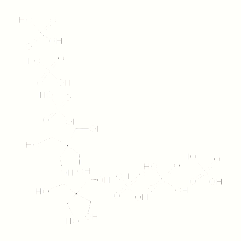 O=S(=O)(O)O.O=S(=O)(O)O.O=S(=O)(O)O.O=S(=O)(O)O.O=S(=O)(O)O.O=S(=O)(O)O.OCC(CO)(CO)CO.OCC(CO)(CO)CO